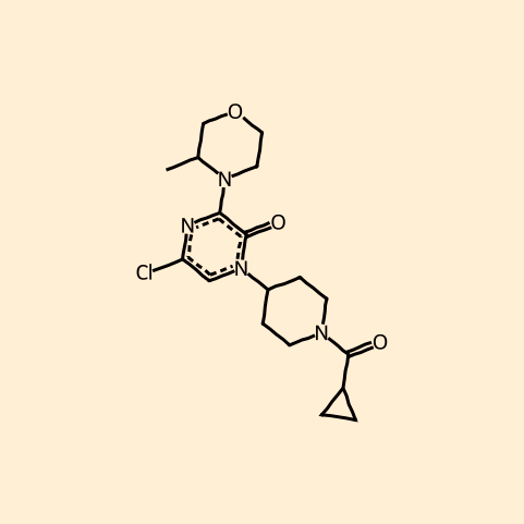 CC1COCCN1c1nc(Cl)cn(C2CCN(C(=O)C3CC3)CC2)c1=O